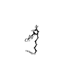 CCCCCCCCCCCCc1cc(Br)s[c]1[Mg][Cl]